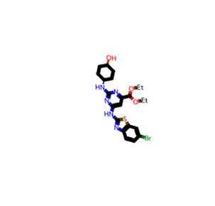 CCOC(OCC)c1cc(Nc2nc3ccc(Br)cc3s2)nc(N[C@H]2CC[C@H](O)CC2)n1